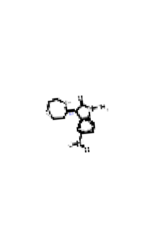 CN1C(=O)/C(=C2/CCOCCN2)c2cc([N+](=O)[O-])ccc21